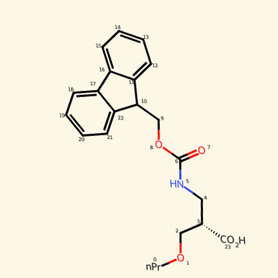 CCCOC[C@H](CNC(=O)OCC1c2ccccc2-c2ccccc21)C(=O)O